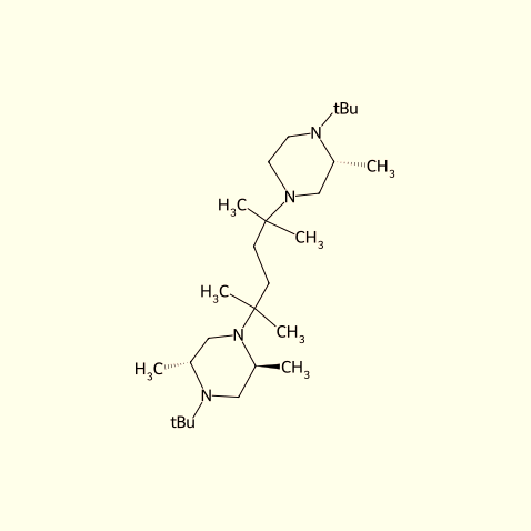 C[C@@H]1CN(C(C)(C)CCC(C)(C)N2C[C@@H](C)N(C(C)(C)C)C[C@@H]2C)CCN1C(C)(C)C